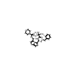 CC(C)(N)C(=O)N[C@H](COCc1ccccc1)c1ncc2scc(COC(=O)N3CCOCC3)n12